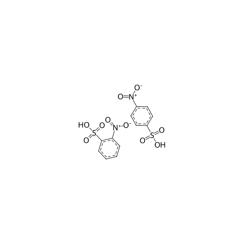 O=[N+]([O-])c1ccc(S(=O)(=O)O)cc1.O=[N+]([O-])c1ccccc1S(=O)(=O)O